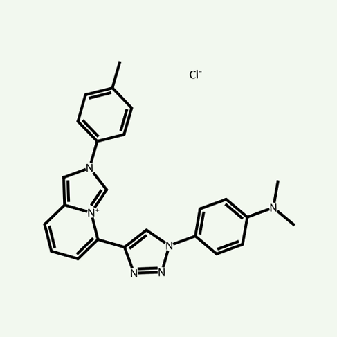 Cc1ccc(-n2cc3cccc(-c4cn(-c5ccc(N(C)C)cc5)nn4)[n+]3c2)cc1.[Cl-]